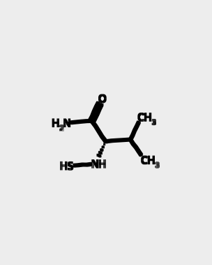 CC(C)[C@H](NS)C(N)=O